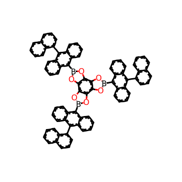 c1ccc2c(-c3c4ccccc4c(B4Oc5c6c(c7c(c5O4)OB(c4c5ccccc5c(-c5cccc8ccccc58)c5ccccc45)O7)OB(c4c5ccccc5c(-c5cccc7ccccc57)c5ccccc45)O6)c4ccccc34)cccc2c1